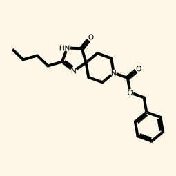 CCCCC1=NC2(CCN(C(=O)OCc3ccccc3)CC2)C(=O)N1